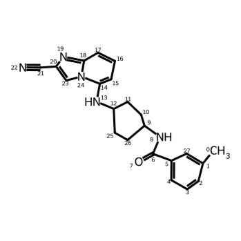 Cc1cccc(C(=O)NC2CCC(Nc3cccc4nc(C#N)cn34)CC2)c1